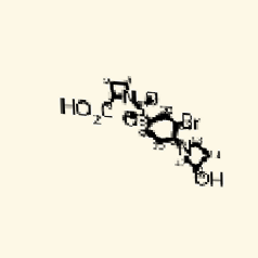 O=C(O)C1CCN1S(=O)(=O)c1ccc(N2CCC(O)C2)c(Br)c1